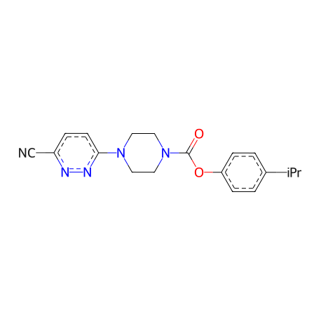 CC(C)c1ccc(OC(=O)N2CCN(c3ccc(C#N)nn3)CC2)cc1